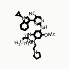 C=CC(=O)Nc1cc(Nc2ncc(C#N)c(-c3cn(C4CC4)c4ccccc34)n2)c(OC)cc1N(C)CCN1CCCC1